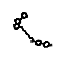 c1ccc(-c2ccc3nccc(SCCCCCCNc4ccc(N5CCNCC5)cc4)c3c2)cc1